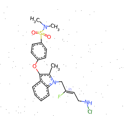 Cc1c(Oc2ccc(S(=O)(=O)N(C)C)cc2)c2ccccc2n1C/C(F)=C/CNCl